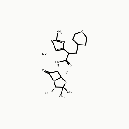 CC1(C)S[C@@H]2[C@H](NC(=O)C(CC3CCOCC3)c3csc(N)n3)C(=O)N2[C@H]1C(=O)[O-].[Na+]